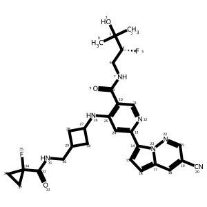 CC(C)(O)[C@H](F)CNC(=O)c1cnc(-c2ccc3cc(C#N)cnn23)cc1NC1CC(CNC(=O)C2(F)CC2)C1